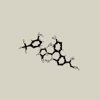 CCC(O)c1ccc(OC)c(-c2ccc(C)cc2CN2C(=O)O[C@H](c3cc(C)cc(C(F)(F)F)c3)[C@@H]2C)c1